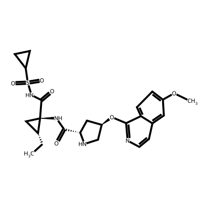 CC[C@@H]1C[C@]1(NC(=O)[C@@H]1C[C@@H](Oc2nccc3cc(OC)ccc23)CN1)C(=O)NS(=O)(=O)C1CC1